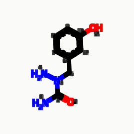 NC(=O)N(N)Cc1cccc(O)c1